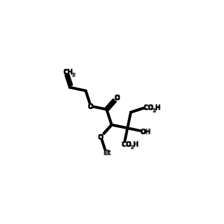 C=CCOC(=O)C(OCC)C(O)(CC(=O)O)C(=O)O